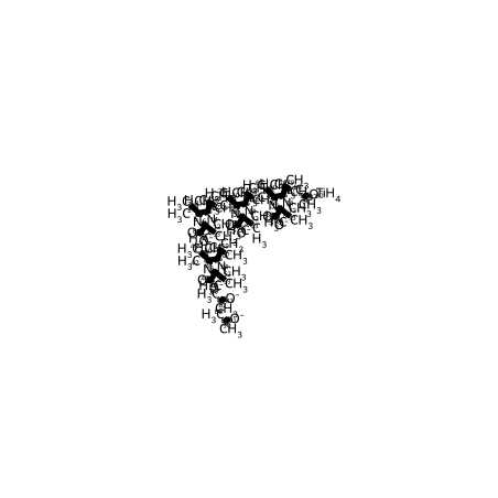 CC(C)(C)C1=NC(C(=O)[O-])(C(C)(C)C)N=C1C(C)(C)C.CC(C)(C)C1=NC(C(=O)[O-])(C(C)(C)C)N=C1C(C)(C)C.CC(C)(C)C1=NC(C(=O)[O-])(C(C)(C)C)N=C1C(C)(C)C.CC(C)(C)C1=NC(C(=O)[O-])(C(C)(C)C)N=C1C(C)(C)C.CC(C)[O-].CC(C)[O-].CC(C)[O-].[TiH4]